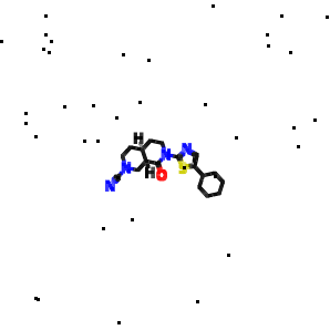 N#CN1CC[C@H]2CCN(c3ncc(C4CCCCC4)s3)C(=O)[C@@H]2C1